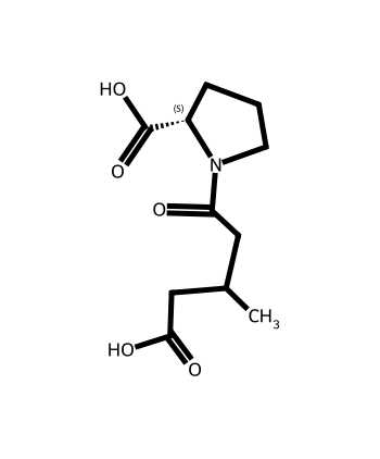 CC(CC(=O)O)CC(=O)N1CCC[C@H]1C(=O)O